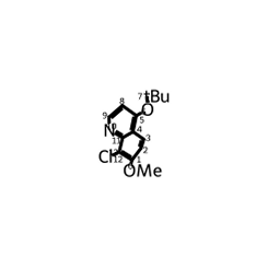 COc1ccc2c(OC(C)(C)C)ccnc2c1Cl